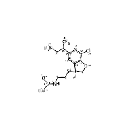 CC1(SCCN[S+]([O-])C(C)(C)C)COc2c1cc(C(CN)C(F)(F)F)nc2Cl